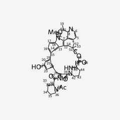 CCn1c(-c2cccnc2[C@H](C)OC)c2c3cc(ccc31)-c1cc(O)cc(c1)C[C@H](NC(=O)[C@@H]1[C@@H](C)CCCN1C(C)=O)C(=O)N1CCC[C@H](N1)C(=O)OCC(C)(C)C2